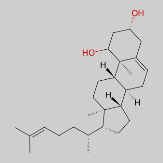 CC(C)=CCC[C@@H](C)[C@H]1CC[C@H]2[C@@H]3CC=C4C[C@@H](O)CC(O)[C@]4(C)[C@H]3CC[C@]12C